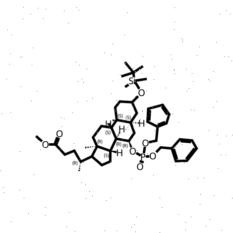 COC(=O)CC[C@@H](C)C1CC[C@H]2[C@@H]3[C@H](OP(=O)(OCc4ccccc4)OCc4ccccc4)C[C@@H]4CC(O[Si](C)(C)C(C)(C)C)CC[C@]4(C)[C@H]3CC[C@]12C